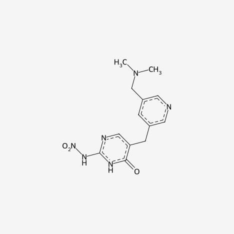 CN(C)Cc1cncc(Cc2cnc(N[N+](=O)[O-])[nH]c2=O)c1